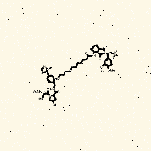 CCOc1cc([C@@H](CS(C)(=O)=O)N2C(=O)c3cccc(NC(=O)CCCCCCCCCCOc4cc(-c5scnc5C)ccc4CNC(=O)C4CC(O)CN4C(=O)[C@@H](NC(C)=O)C(C)(C)C)c3C2=O)ccc1OC